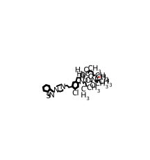 CC(C)C(OC(=O)N(C(C)(C)C)C(C)(C)CC(C)(C)C)N1C(=O)Cc2cc(CCN3CCN(c4nsc5ccccc45)CC3)c(Cl)cc21